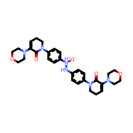 O=C1C(N2CCOCC2)=CCCN1c1ccc(N[NH+]([O-])c2ccc(N3CCC=C(N4CCOCC4)C3=O)cc2)cc1